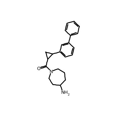 NC1CCCN(C(=O)C2CC2c2cccc(-c3ccccc3)c2)CC1